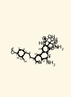 COc1ccc(CCc2cnc3c(N)nc4cc(C(O)(P(N)(=O)O)P(=O)(O)O)ccc4c3c2)c(C)c1